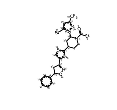 CCC(=O)N1CCC(c2nc(C3=NOC(c4ccccc4)C3)cs2)CC1n1nc(C(F)(F)F)cc1Br